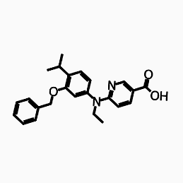 CCN(c1ccc(C(C)C)c(OCc2ccccc2)c1)c1ccc(C(=O)O)cn1